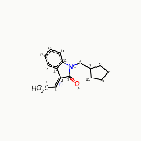 O=C(O)/C=C1/C(=O)N(CC2CCCC2)c2ccccc21